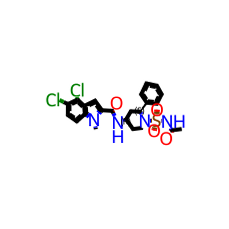 CC(=O)NS(=O)(=O)N1CC[C@@H](NC(=O)c2cc3c(Cl)c(Cl)ccc3n2C)C[C@H]1c1ccccc1